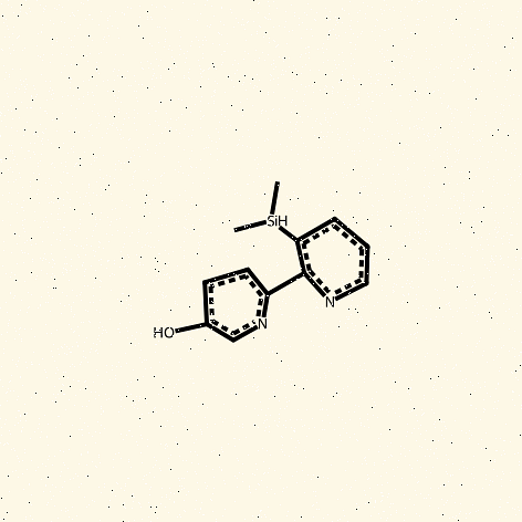 C[SiH](C)c1cccnc1-c1ccc(O)cn1